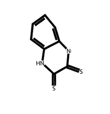 S=C1[N]c2ccccc2NC1=S